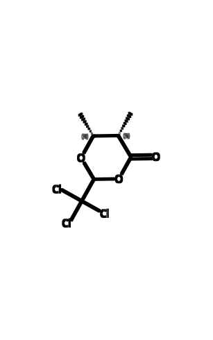 C[C@@H]1C(=O)OC(C(Cl)(Cl)Cl)O[C@@H]1C